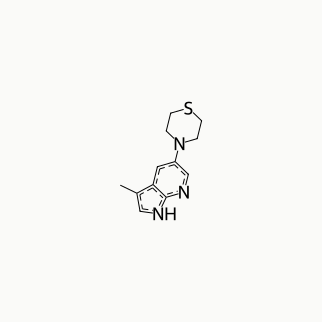 Cc1c[nH]c2ncc(N3CCSCC3)cc12